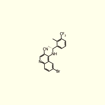 Cc1c([C@@H](C)Nc2c(C#N)cnc3ccc(Br)cc23)cccc1C(F)(F)F